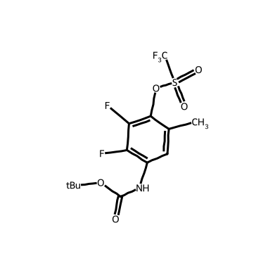 Cc1cc(NC(=O)OC(C)(C)C)c(F)c(F)c1OS(=O)(=O)C(F)(F)F